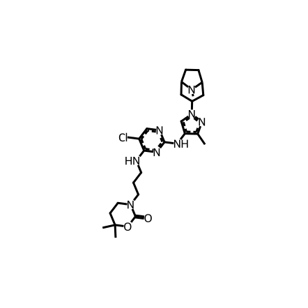 Cc1nn(C2CC3CCC(C2)N3C)cc1Nc1ncc(Cl)c(NCCCN2CCC(C)(C)OC2=O)n1